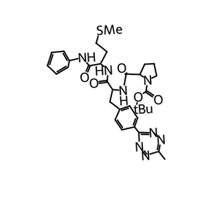 CSCCC(NC(=O)C(Cc1ccc(-c2nnc(C)nn2)cc1)NC(=O)C1CCCN1C(=O)OC(C)(C)C)C(=O)Nc1ccccc1